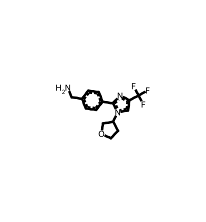 NCc1ccc(-c2nc(C(F)(F)F)cn2C2CCOC2)cc1